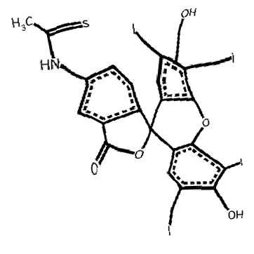 CC(=S)Nc1ccc2c(c1)C(=O)OC21c2cc(I)c(O)c(I)c2Oc2c1cc(I)c(O)c2I